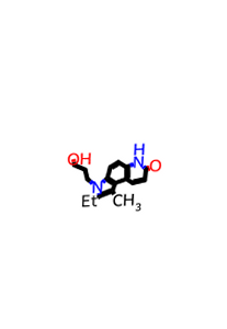 CCc1c(C)c2c3ccc(=O)[nH]c3ccc2n1CCCO